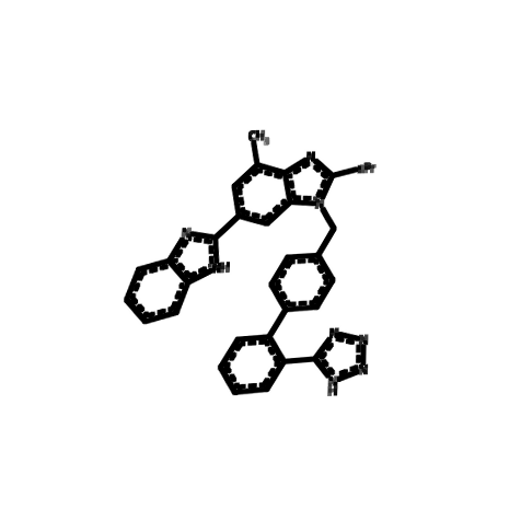 CCCc1nc2c(C)cc(-c3nc4ccccc4[nH]3)cc2n1Cc1ccc(-c2ccccc2-c2nnn[nH]2)cc1